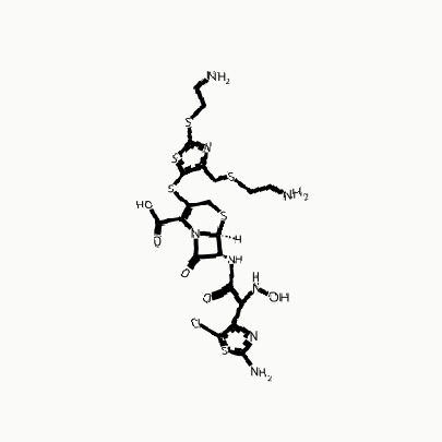 NCCSCc1nc(SCCN)sc1SC1=C(C(=O)O)N2C(=O)[C@@H](NC(=O)C(NO)c3nc(N)sc3Cl)[C@@H]2SC1